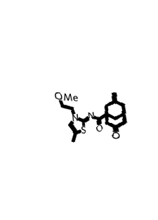 C=C1CC2CC(=O)CC(C(=O)N=c3sc(C)cn3CCOC)(C1)C2